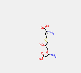 NC(CC(=O)O)OCC(O)CSCC[C@H](N)C(=O)O